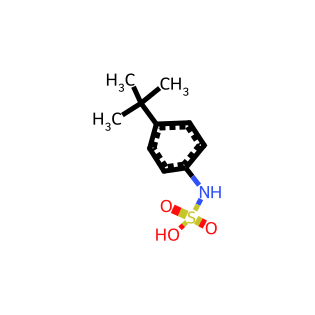 CC(C)(C)c1ccc(NS(=O)(=O)O)cc1